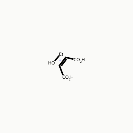 CCO.O=C(O)/C=C\C(=O)O